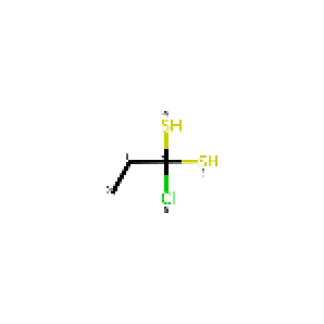 CCC(S)(S)Cl